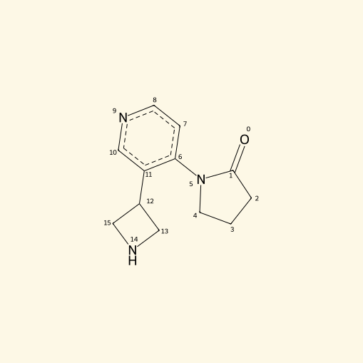 O=C1CCCN1c1ccncc1C1CNC1